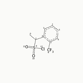 CC(c1ccccc1C(F)(F)F)S(=O)(=O)Cl